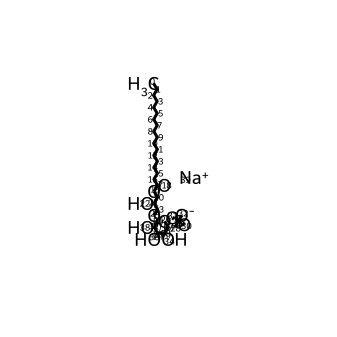 CCCCCCCCCCCCCCCCCC(=O)OCC(O)CO[C@H]1O[C@H](CS(=O)(=O)[O-])[C@H](O)[C@H](O)[C@H]1O.[Na+]